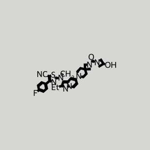 CCc1nn2ccc(N3CCC4(CC3)CN(C(=O)N3CC(O)C3)C4)cc2c1N(C)c1nc(-c2ccc(F)cc2)c(C#N)s1